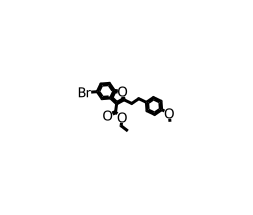 CCOC(=O)c1c(CCc2ccc(OC)cc2)oc2ccc(Br)cc12